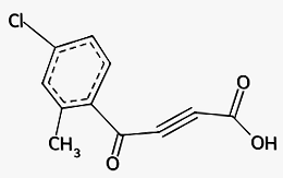 Cc1cc(Cl)ccc1C(=O)C#CC(=O)O